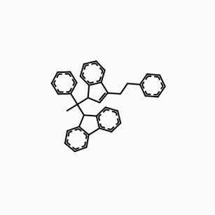 CC(c1ccccc1)(C1C=C(CCc2ccccc2)c2ccccc21)C1c2ccccc2-c2ccccc21